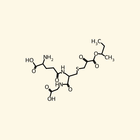 CCC(C)OC(=O)C(=O)CSCC(NC(=O)CCC(N)C(=O)O)C(=O)NCC(=O)O